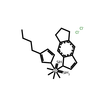 CCCCC1=C[CH]([Zr]([CH3])([CH3])([CH3])([CH3])(=[SiH2])(=[SiH2])[CH]2C=Cc3cc4c(cc32)CCC4)C=C1.[Cl-].[Cl-]